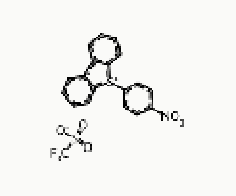 O=S(=O)([O-])C(F)(F)F.O=[N+]([O-])c1ccc(-[s+]2c3ccccc3c3ccccc32)cc1